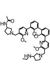 CCNC1CCN(Cc2ccc(-c3cccc(-c4cccc(-c5ccc(CN6CCC(NC(C)=O)C6)c(OC)n5)c4Cl)c3Cl)nc2OC)C1